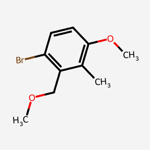 COCc1c(Br)ccc(OC)c1C